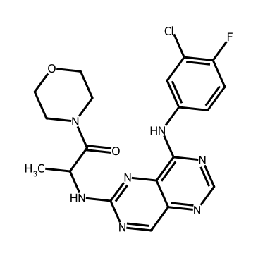 CC(Nc1ncc2ncnc(Nc3ccc(F)c(Cl)c3)c2n1)C(=O)N1CCOCC1